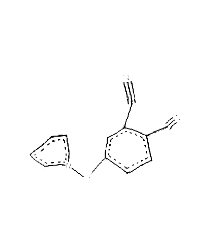 N#Cc1ccc(On2c[c]cc2)cc1C#N